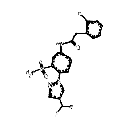 NS(=O)(=O)c1cc(NC(=O)Cc2ccccc2F)ccc1-n1cc(C(F)F)cn1